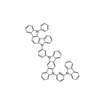 c1ccc(-n2c3ccccc3c3ccc4c(c5ccccc5n4-c4cccc(-n5c6ccccc6c6cc7c(cc65)c5ccccc5n7-c5cccc(-n6c7ccccc7c7ccccc76)n5)c4)c32)cc1